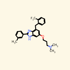 Cc1cccc(-c2nc3c(Cc4ccccc4C(F)(F)F)cc(OCCCN(C)C)cc3[nH]2)c1